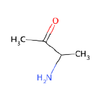 CC(=O)C(C)N